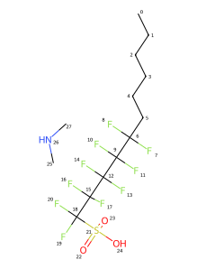 CCCCCCC(F)(F)C(F)(F)C(F)(F)C(F)(F)C(F)(F)S(=O)(=O)O.CNC